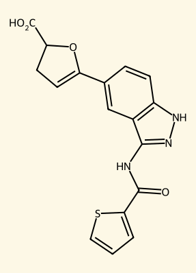 O=C(Nc1n[nH]c2ccc(C3=CCC(C(=O)O)O3)cc12)c1cccs1